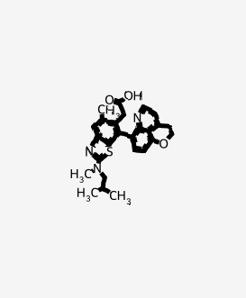 Cc1cc2nc(N(C)CC(C)C)sc2c(-c2ccc3c4c(ccnc24)CCO3)c1CC(=O)O